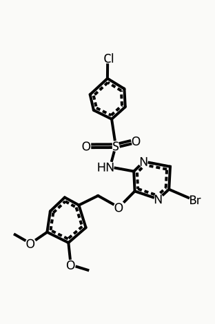 COc1ccc(COc2nc(Br)cnc2NS(=O)(=O)c2ccc(Cl)cc2)cc1OC